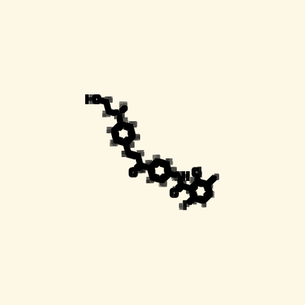 Cc1ccc(F)c(C(=O)Nc2ccc(C(=O)/C=C/c3ccc(N(C)CCO)cc3)cc2)c1Cl